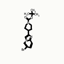 CC(C)(C)OC(=O)N1CCC(c2cn3cc(Br)ccc3n2)CC1